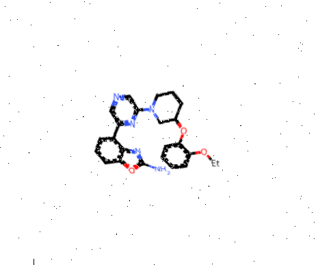 CCOc1ccccc1OC1CCCN(c2cncc(-c3cccc4oc(N)nc34)n2)C1